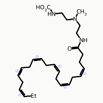 CC/C=C\C/C=C\C/C=C\C/C=C\C/C=C\C/C=C\CCC(=O)NCCN(C)CCNC(=O)O